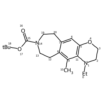 CCN1CCOc2cc3c(c(C)c21)CCN(C(=O)OC(C)(C)C)CC3